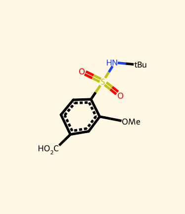 COc1cc(C(=O)O)ccc1S(=O)(=O)NC(C)(C)C